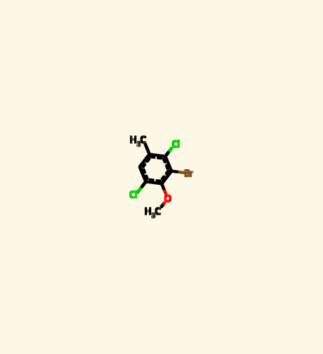 COc1c(Cl)cc(C)c(Cl)c1Br